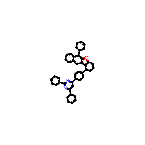 c1ccc(-c2cc(-c3ccc(-c4cccc5oc6c(-c7ccccc7)c7ccccc7cc6c45)cc3)nc(-c3ccccc3)n2)cc1